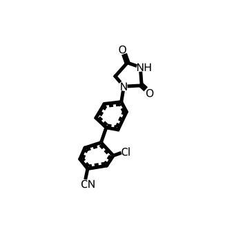 N#Cc1ccc(-c2ccc(N3CC(=O)NC3=O)cc2)c(Cl)c1